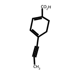 CC#CC1=CC=C(C(=O)O)CC1